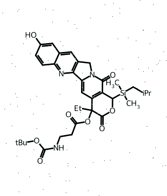 CCC1(OC(=O)CCNC(=O)OC(C)(C)C)C(=O)OC([Si](C)(C)CC(C)C)c2c1cc1n(c2=O)Cc2cc3cc(O)ccc3nc2-1